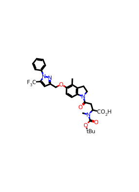 Cc1c(OCc2cc(C(F)(F)F)n(-c3ccccc3)n2)ccc2c1CCN2C(=O)CC(C(=O)O)N(C)C(=O)OC(C)(C)C